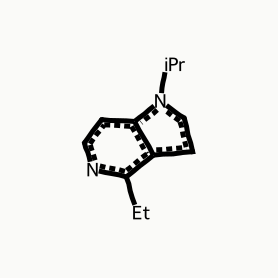 CCc1nccc2c1ccn2C(C)C